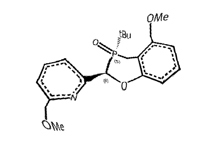 COc1cccc([C@@H]2Oc3cccc(OC)c3[P@@]2(=O)C(C)(C)C)n1